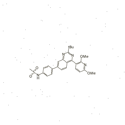 COc1ccc(-c2nc(C(C)(C)C)nc3cc(-c4ccc(NS(C)(=O)=O)cc4)ccc23)c(OC)n1